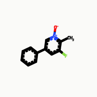 Cc1c(F)cc(-c2ccccc2)c[n+]1[O-]